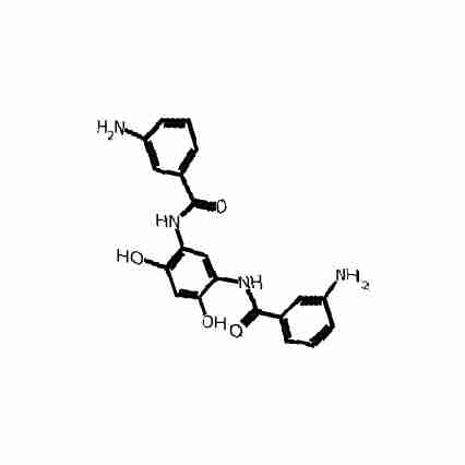 Nc1cccc(C(=O)Nc2cc(NC(=O)c3cccc(N)c3)c(O)cc2O)c1